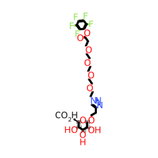 O=C(O)C[C@H]1O[C@H](OCCc2cn(CCOCCOCCOCCOCCC(=O)Oc3c(F)c(F)c(F)c(F)c3F)nn2)[C@@H](O)[C@@H](O)[C@@H]1O